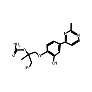 Cc1nccc(-c2ccc(OCC(C)(CC(C)C)OC(N)=O)c(C#N)c2)n1